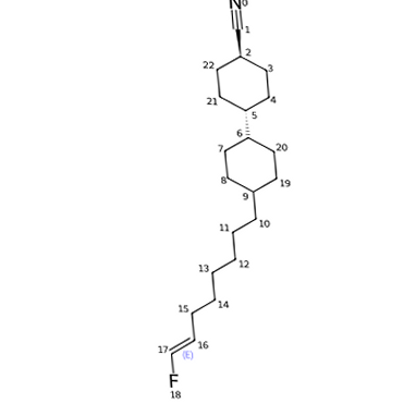 N#C[C@H]1CC[C@H](C2CCC(CCCCCC/C=C/F)CC2)CC1